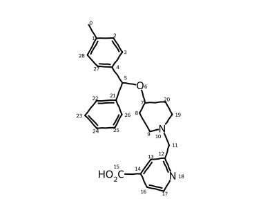 Cc1ccc(C(OC2CCN(Cc3cc(C(=O)O)ccn3)CC2)c2ccccc2)cc1